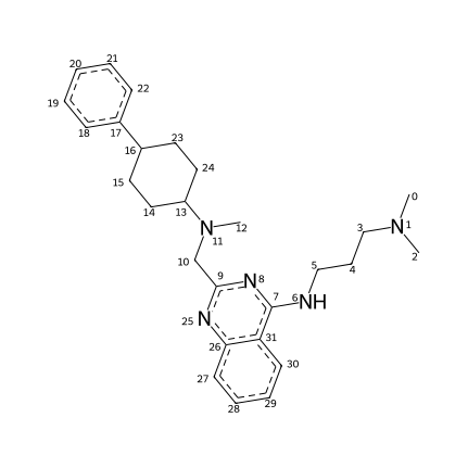 CN(C)CCCNc1nc(CN(C)C2CCC(c3ccccc3)CC2)nc2ccccc12